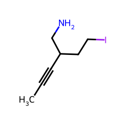 CC#CC(CN)CCI